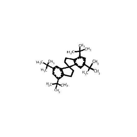 CC(C)(C)c1cc(C(C)(C)C)c2c(c1)C1(CC2)CCc2c(C(C)(C)C)cc(C(C)(C)C)cc21